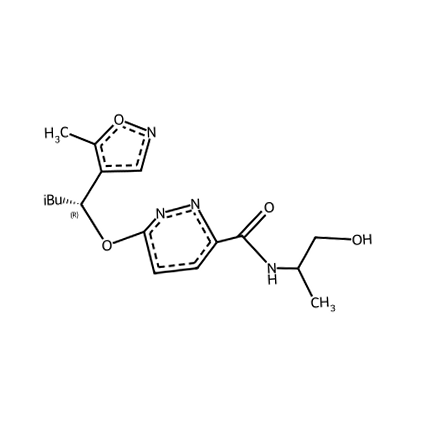 CCC(C)[C@@H](Oc1ccc(C(=O)NC(C)CO)nn1)c1cnoc1C